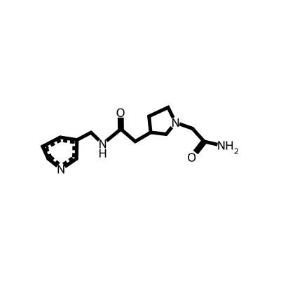 NC(=O)CN1CCC(CC(=O)NCc2cccnc2)C1